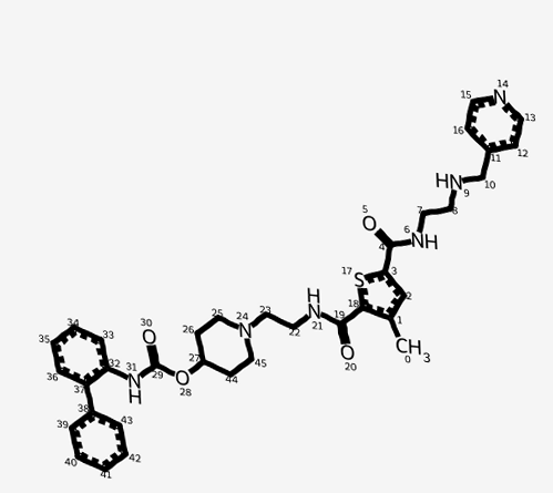 Cc1cc(C(=O)NCCNCc2ccncc2)sc1C(=O)NCCN1CCC(OC(=O)Nc2ccccc2-c2ccccc2)CC1